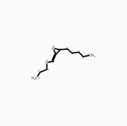 CCCCCC1OC1=COCCC